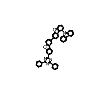 c1ccc(-c2nc(-c3ccccc3)nc(-c3ccc4c(c3)oc3ccc(-c5ccc6c(c5)oc5cccc(-n7c8ccccc8c8ccccc87)c56)cc34)n2)cc1